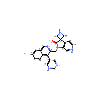 O=C1N(Cc2ncc3cc(F)ccc3c2-c2cncnc2)c2cnccc2C12CNC2